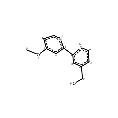 COc1ccnc(-c2cc(CO)ccn2)c1